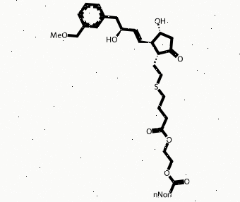 CCCCCCCCCC(=O)OCCOC(=O)CCCSCC[C@H]1C(=O)C[C@@H](O)[C@@H]1/C=C/[C@@H](O)Cc1cccc(COC)c1